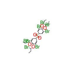 CCC(Br)OC1(OC(Br)CC)C(Br)=CC(S(=O)(=O)C2C=C(Br)C(OC(Br)CC)(OC(Br)CC)C(Br)=C2)C=C1Br